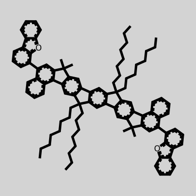 CCCCCCCCC1(CCCCCCCC)c2cc3c(cc2-c2cc4c(cc21)-c1cc2c(cc1C4(CCCCCCCC)CCCCCCCC)-c1c(cc(-c4cccc5c4oc4ccccc45)c4ccccc14)C2(C)C)C(C)(C)c1cc(-c2cccc4c2oc2ccccc24)c2ccccc2c1-3